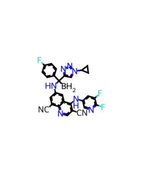 BC(Nc1cc(C#N)c2ncc(C#N)c(Nc3cnc(F)c(F)c3)c2c1)(c1ccc(F)cc1)c1cn(C2CC2)nn1